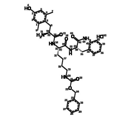 Cc1cc(O)cc(C)c1C[C@H](N)C(=O)N[C@@H](CCCCNC(=O)OCc1ccccc1)C(=O)N[C@@H](Cc1ccccc1)C(N)=O.Cl